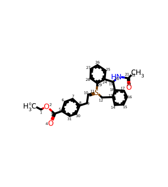 CCOC(=O)c1ccc(CC=S2Cc3ccccc3C(NC(C)=O)c3ccccc32)cc1